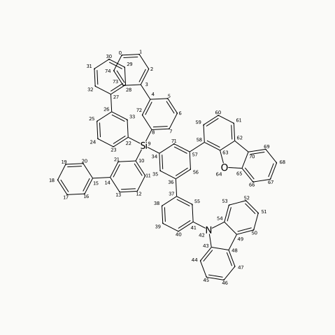 c1ccc(-c2cccc([Si](c3cccc(-c4ccccc4)c3)(c3cccc(-c4ccccc4)c3)c3cc(-c4cccc(-n5c6ccccc6c6ccccc65)c4)cc(-c4cccc5c4oc4ccccc45)c3)c2)cc1